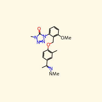 CNN=C(C)c1ccc(OCc2c(OC)cccc2-n2nnn(C)c2=O)c(C)c1